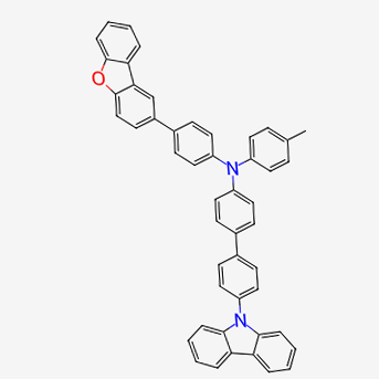 Cc1ccc(N(c2ccc(-c3ccc(-n4c5ccccc5c5ccccc54)cc3)cc2)c2ccc(-c3ccc4oc5ccccc5c4c3)cc2)cc1